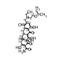 CCN(CCOC(C)C)Cc1cc(O)c2c(c1Cl)CC1C[C@H]3CC(O)=C(C(N)=O)C(=O)[C@@]3(O)C(O)=C1C2=O